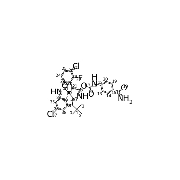 CC(C)(C)C[C@@H]1N[C@H](OC(=O)Nc2ccc(C(N)=O)cc2)[C@H](c2cccc(Cl)c2F)[C@]12C(=O)Nc1cc(Cl)ccc12